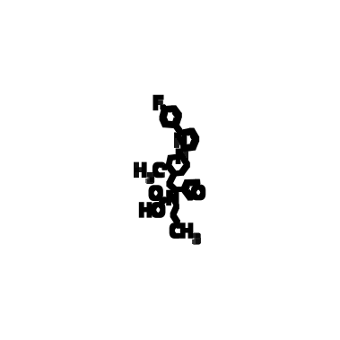 CCCCN(C(=O)O)C(CC1CCN(c2cccc(-c3ccc(F)cc3)n2)CC1C)c1ccoc1